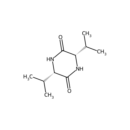 CC(C)[C@@H]1NC(=O)[C@H](C(C)C)NC1=O